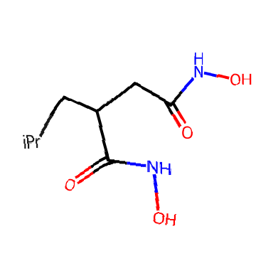 CC(C)CC(CC(=O)NO)C(=O)NO